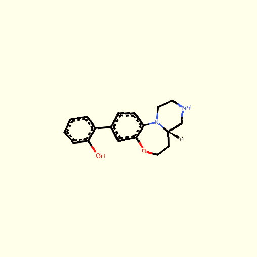 Oc1ccccc1-c1ccc2c(c1)OCC[C@H]1CNCCN21